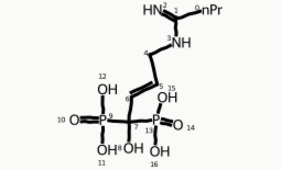 CCCC(=N)NCC=CC(O)(P(=O)(O)O)P(=O)(O)O